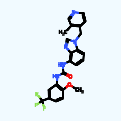 COc1ccc(C(F)(F)F)cc1NC(=O)Nc1cccc2c1ncn2Cc1ccncc1C